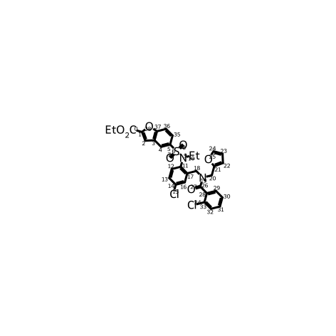 CCOC(=O)c1cc2cc(S(=O)(=O)N(CC)c3ccc(Cl)cc3CN(Cc3ccco3)C(=O)c3ccccc3Cl)ccc2o1